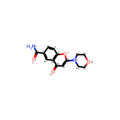 NC(=O)c1ccc2oc(N3CCOCC3)cc(=O)c2c1